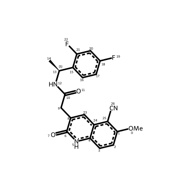 COc1ccc2[nH]c(=O)c(CC(=O)N[C@@H](C)c3ccc(F)cc3F)cc2c1C#N